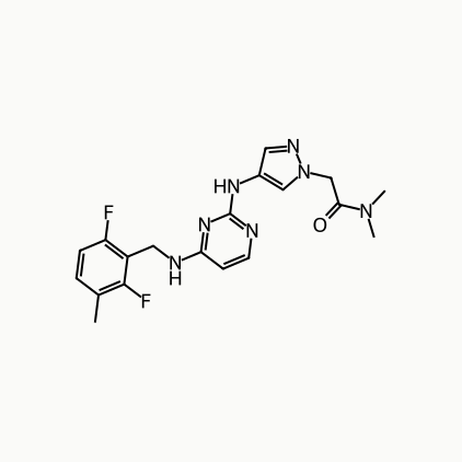 Cc1ccc(F)c(CNc2ccnc(Nc3cnn(CC(=O)N(C)C)c3)n2)c1F